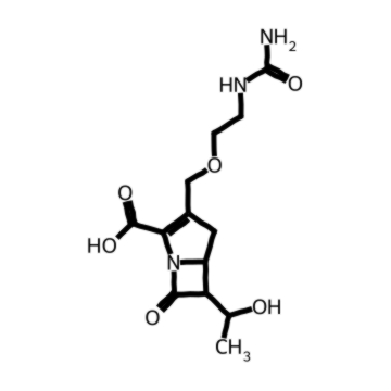 CC(O)C1C(=O)N2C(C(=O)O)=C(COCCNC(N)=O)CC12